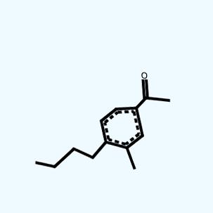 CCCCc1ccc(C(C)=O)cc1C